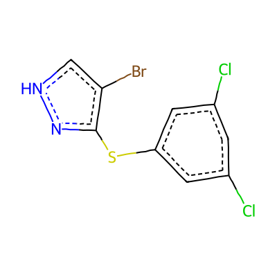 Clc1cc(Cl)cc(Sc2n[nH]cc2Br)c1